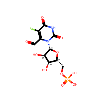 O=Cc1c(F)c(=O)[nH]c(=O)n1[C@@H]1O[C@H](COP(=O)(O)O)[C@@H](O)[C@H]1O